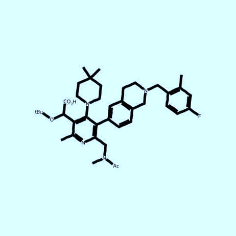 CC(=O)N(C)Cc1nc(C)c(C(OC(C)(C)C)C(=O)O)c(N2CCC(C)(C)CC2)c1-c1ccc2c(c1)CCN(Cc1ccc(F)cc1C)C2